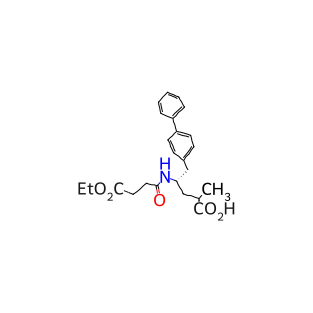 CCOC(=O)CCC(=O)N[C@H](Cc1ccc(-c2ccccc2)cc1)C[C@@H](C)C(=O)O